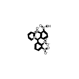 O=[N+]([O-])c1cccc(C(c2cccc([N+](=O)O)c2[N+](=O)[O-])[n+]2ccccc2)c1[N+](=O)[O-]